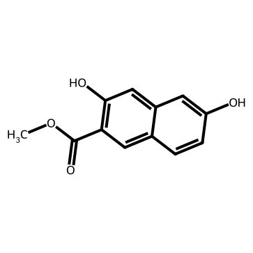 COC(=O)c1cc2ccc(O)cc2cc1O